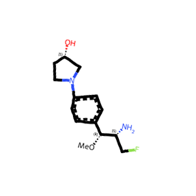 CO[C@H](c1ccc(N2CC[C@H](O)C2)cc1)[C@H](N)CF